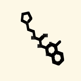 Cc1nc(NC(=N)NCCN2CCCC2)nc2ccccc12